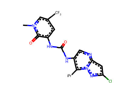 CC(C)c1c(NC(=O)Nc2cc(C(F)(F)F)cn(C)c2=O)cnc2cc(Cl)nn12